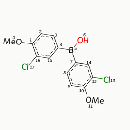 COc1ccc(B(O)c2ccc(OC)c(Cl)c2)cc1Cl